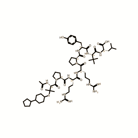 CC(=O)N[C@H](C(=O)N1CCC[C@H]1C(=O)N[C@@H](CCCNC(=N)N)C(=O)N[C@@H](CCCNC(=N)N)C(=O)N1CCC[C@H]1C(=O)N[C@@H](Cc1ccc(O)cc1)C(=O)N[C@H](C(=O)N[C@@H](CC(C)C)C(=O)O)C(C)(C)C)C(C)(C)SC1CCC(C2CCCC2)CC1